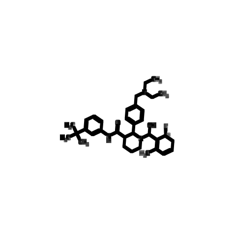 CCN(CC)Cc1ccc(C2C(C(=O)Nc3cccc(C(C)(C)C)c3)CCCN2C(O)C2=C(C)C=CC[C@@H]2F)cc1